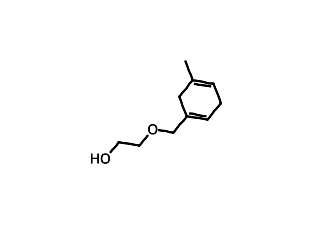 CC1=CCC=C(COCCO)C1